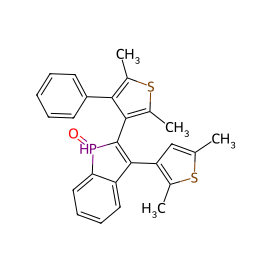 Cc1cc(C2=C(c3c(C)sc(C)c3-c3ccccc3)[PH](=O)c3ccccc32)c(C)s1